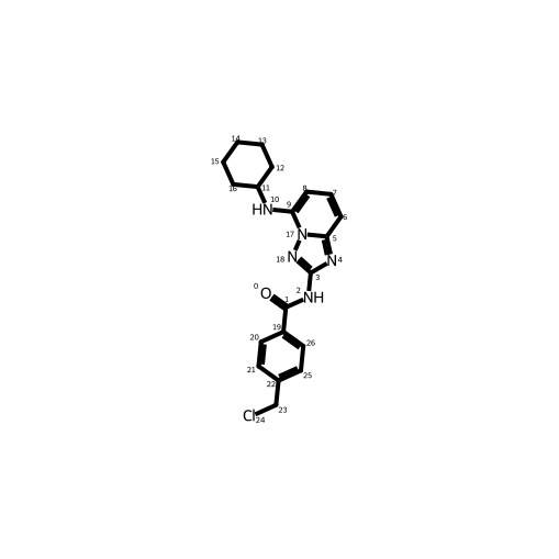 O=C(Nc1nc2cccc(NC3CCCCC3)n2n1)c1ccc(CCl)cc1